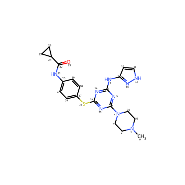 CN1CCN(c2nc(Nc3cc[nH]n3)nc(Sc3ccc(NC(=O)C4CC4)cc3)n2)CC1